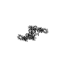 O=C(OC(C(=O)Nc1ccn(C2CCCCC2)n1)N1CCCC1)C(=O)OC(C(=O)Nc1ccn(C2CCCCC2)n1)N1CCCC1